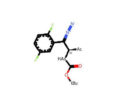 CC(=O)[C@@H]([AsH]C(=O)OC(C)(C)C)C(=[N+]=[N-])c1cc(F)ccc1F